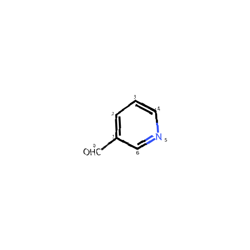 O=Cc1cc[c]nc1